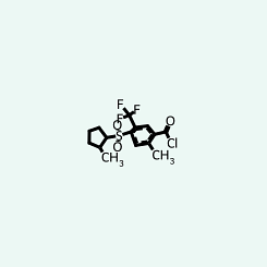 Cc1cc(S(=O)(=O)C2CCCC2C)c(C(F)(F)F)cc1C(=O)Cl